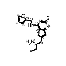 CC[C@H](N)Cc1cc2nc(Cl)nc(NCc3ccco3)c2s1